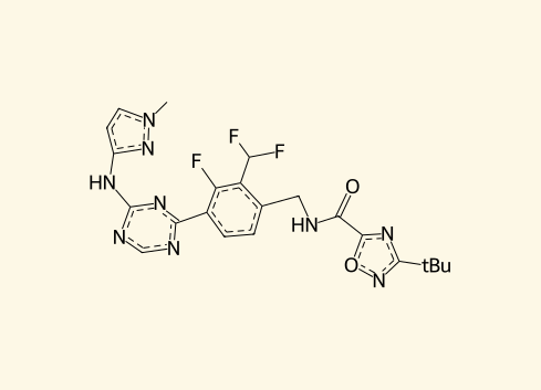 Cn1ccc(Nc2ncnc(-c3ccc(CNC(=O)c4nc(C(C)(C)C)no4)c(C(F)F)c3F)n2)n1